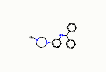 CC(C)(C)N1CCCN(c2cccc(NC(c3ccccc3)c3ccccc3)c2)CC1